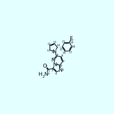 NC(=O)c1cnc2ccc(N3CC=C[C@@H]3c3cccc(F)c3)nn12